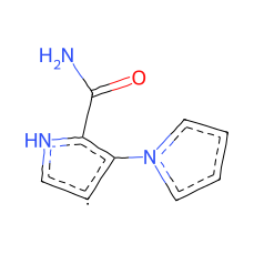 NC(=O)c1[nH]c[c]c1-n1cccc1